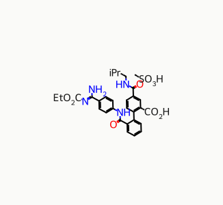 CCOC(=O)N=C(N)c1ccc(NC(=O)c2ccccc2-c2ccc(C(=O)NCC(C)C)cc2C(=O)O)cc1.CS(=O)(=O)O